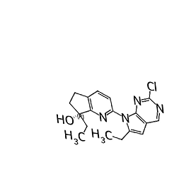 CCc1cc2cnc(Cl)nc2n1-c1ccc2c(n1)[C@@](O)(CC)CC2